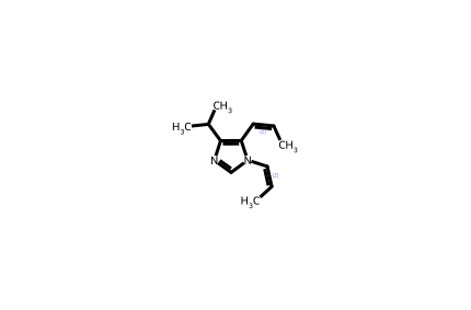 C/C=C\c1c(C(C)C)ncn1/C=C\C